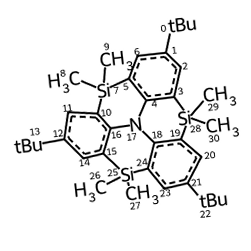 CC(C)(C)c1cc2c3c(c1)[Si](C)(C)c1cc(C(C)(C)C)cc4c1N3c1c(cc(C(C)(C)C)cc1[Si]4(C)C)[Si]2(C)C